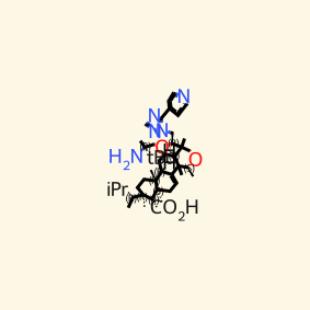 CC(C)[C@@H](C)[C@@]1(C)CC[C@]2(C)[C@H]3CC[C@H]4C(C)([C@H](Cn5ncnc5-c5ccncc5)OC[C@](C)(N)C(C)(C)C)CO[C@@H](C)C4(C)C3=CC[C@@]2(C)[C@@H]1C(=O)O